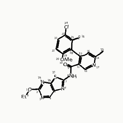 CCOc1ncc2nc(NC(=O)c3cnc(C)cc3-c3c(OC)ccc(Cl)c3F)sc2n1